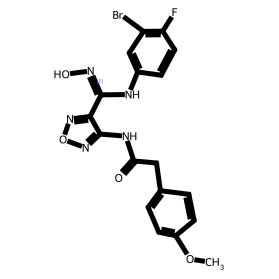 COc1ccc(CC(=O)Nc2nonc2/C(=N\O)Nc2ccc(F)c(Br)c2)cc1